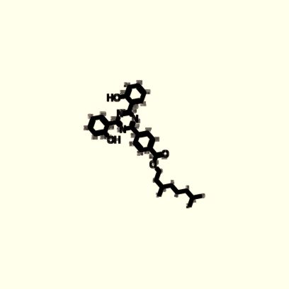 CC(C)CCCC(C)CCOC(=O)c1ccc(-c2nc(-c3ccccc3O)nc(-c3ccccc3O)n2)cc1